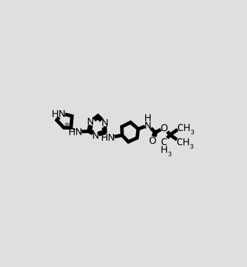 CC(C)(C)OC(=O)NC1CCC(Nc2ncnc(N[C@@H]3CCNC3)n2)CC1